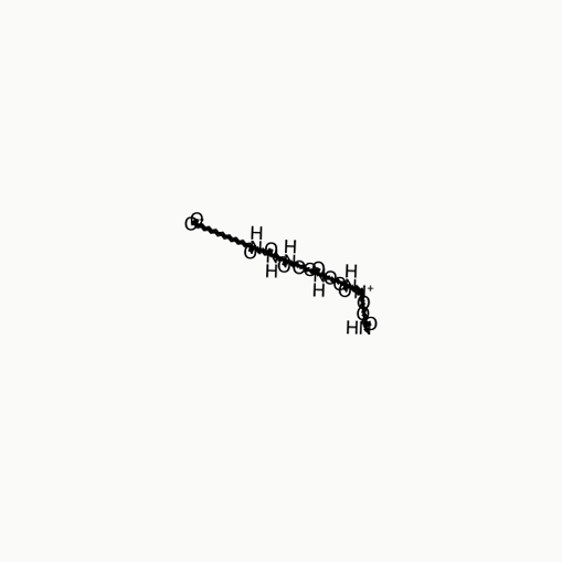 CNC(=O)CCOCCOCC[N+](C)(C)CCNC(=O)COCCOCCNC(=O)COCCOCCNC(=O)CCCNC(=O)CCCNC(=O)CCCCCCCCCCCCCCCCC(=O)[O-]